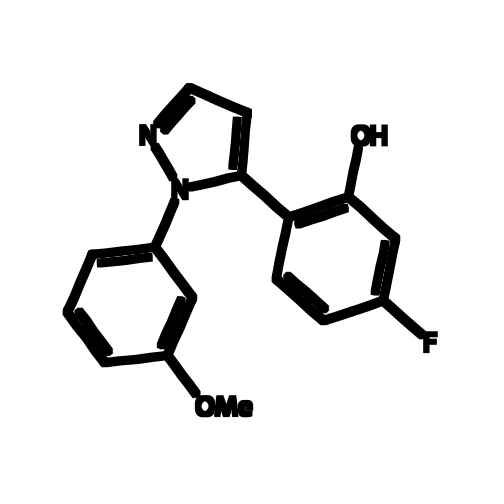 COc1cccc(-n2nccc2-c2ccc(F)cc2O)c1